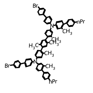 CCCc1ccc(-c2ccc(N(c3ccc(C4=CC=C(Br)CC4)cc3)c3ccc(-c4cc(C)c(-c5ccc(N(c6ccc(-c7ccc(Br)cc7)cc6)c6ccc(-c7ccc(CCC)cc7)c(C)c6)cc5C)cc4C)c(C)c3)cc2C)cc1